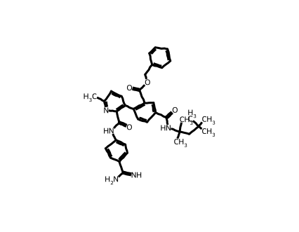 Cc1ccc(-c2ccc(C(=O)NC(C)(C)CC(C)(C)C)cc2C(=O)OCc2ccccc2)c(C(=O)Nc2ccc(C(=N)N)cc2)n1